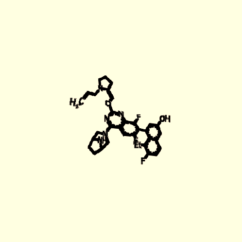 C=CCN1CCC/C1=C/Oc1nc(N2CC3CCC(C2)N3)c2cc(F)c(-c3cc(O)cc4ccc(F)c(CC)c34)c(F)c2n1